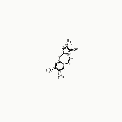 Cc1cc2c(cc1C)Cc1nn(C)c(=O)n1C=C2